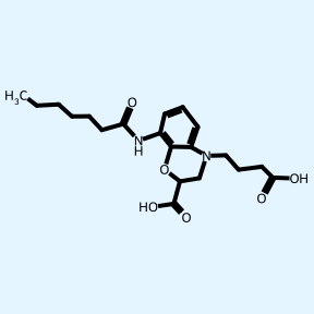 CCCCCCC(=O)Nc1cccc2c1OC(C(=O)O)CN2CCCC(=O)O